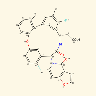 Cc1cc2cc(c1F)[C@H](CC(=O)O)NC(=O)[C@H](n1ccc3occc3c1=O)c1cc(ccc1F)Oc1cccc(C)c1-2